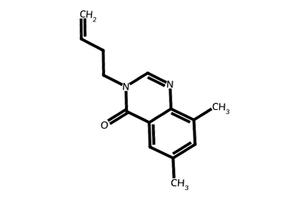 C=CCCn1cnc2c(C)cc(C)cc2c1=O